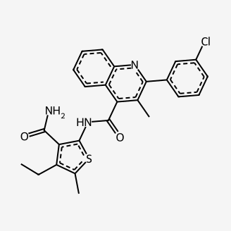 CCc1c(C)sc(NC(=O)c2c(C)c(-c3cccc(Cl)c3)nc3ccccc23)c1C(N)=O